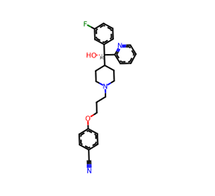 N#Cc1ccc(OCCCN2CCC([C@@](O)(c3cccc(F)c3)c3ccccn3)CC2)cc1